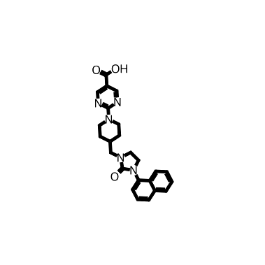 O=C(O)c1cnc(N2CCC(CN3CCN(c4cccc5ccccc45)C3=O)CC2)nc1